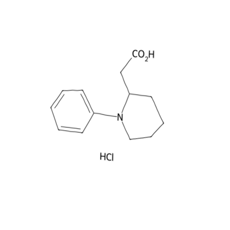 Cl.O=C(O)CC1CCCCN1c1ccccc1